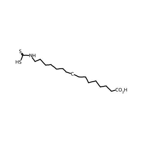 O=C(O)CCCCCCCCCCCCCCCNC(=S)S